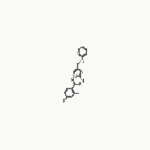 Cc1cc(F)ccc1-c1cnc2nc(COc3ccccn3)cn2n1